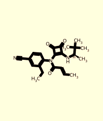 CC=CC(=O)N(c1ccc(C#N)cc1CC)c1c(N[C@H](C)C(C)(C)C)c(=O)c1=O